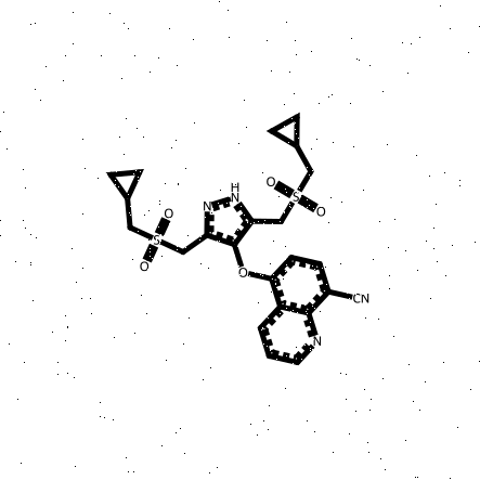 N#Cc1ccc(Oc2c(CS(=O)(=O)CC3CC3)n[nH]c2CS(=O)(=O)CC2CC2)c2cccnc12